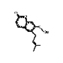 CCCCOc1cc2oc(=O)ccc2cc1CC=C(C)C